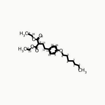 CCCCCCCOc1ccc(CCC(C(=O)OCC)C(=O)OCC)cc1